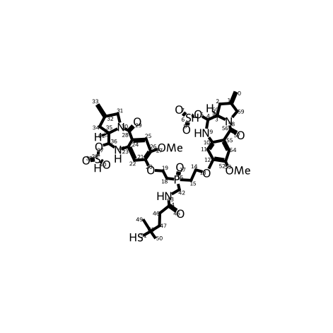 C=C1C[C@@H]2C(O[SH](=O)=O)Nc3cc(OCCP(=O)(CCOc4cc5c(cc4OC)C(=O)N4CC(=C)C[C@H]4C(O[SH](=O)=O)N5)CNC(=O)CCC(C)(C)S)c(OC)cc3C(=O)N2C1